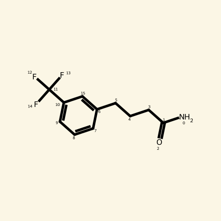 NC(=O)CCCc1cccc(C(F)(F)F)c1